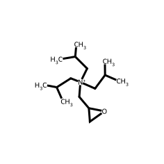 CC(C)C[N+](CC(C)C)(CC(C)C)CC1CO1